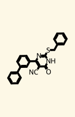 N#Cc1c(-c2cccc(-c3ccccc3)c2)nc(SCc2ccccc2)[nH]c1=O